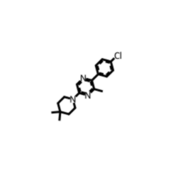 Cc1nc(N2CCC(C)(C)CC2)cnc1-c1ccc(Cl)cc1